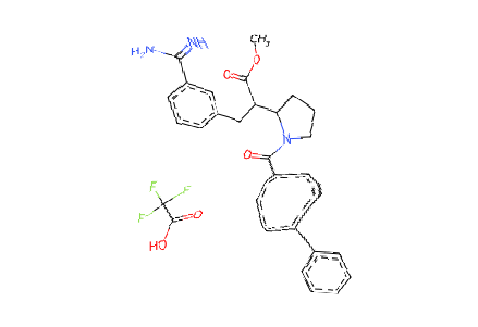 COC(=O)C(Cc1cccc(C(=N)N)c1)C1CCCN1C(=O)c1ccc(-c2ccccc2)cc1.O=C(O)C(F)(F)F